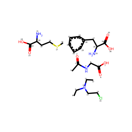 CC(=O)NCC(=O)O.CCN(CC)CCCl.CSCCC(N)C(=O)O.NC(Cc1ccccc1)C(=O)O